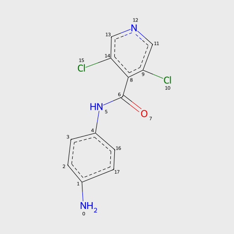 Nc1ccc(NC(=O)c2c(Cl)cncc2Cl)cc1